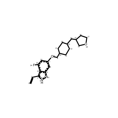 C=Cc1[nH]nc2cc(OCC3CCC(CC4CCOC4)CC3)cc(F)c12